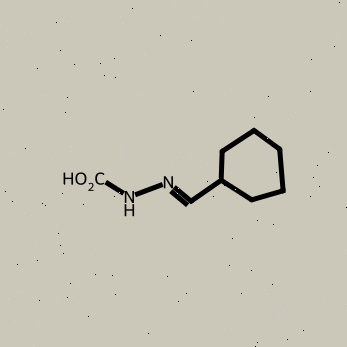 O=C(O)N/N=C/C1CCCCC1